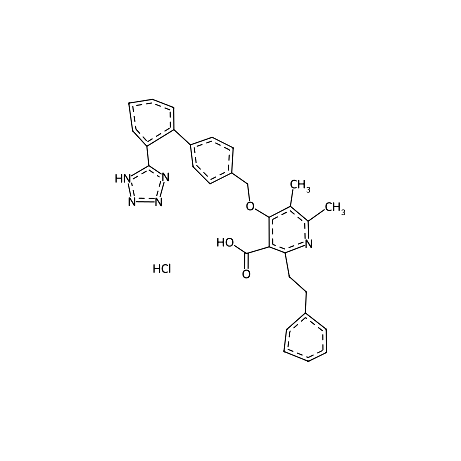 Cc1nc(CCc2ccccc2)c(C(=O)O)c(OCc2ccc(-c3ccccc3-c3nnn[nH]3)cc2)c1C.Cl